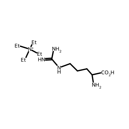 CC[N+](CC)(CC)CC.N=C(N)NCCCC(N)C(=O)O